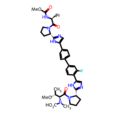 COC(=O)N[C@H](C(=O)N1CCC[C@H]1c1ncc(-c2ccc(-c3ccc(-c4cnc([C@@H]5CCCN5C(=O)[C@H]([C@@H](C)OC)N(C)C(=O)O)[nH]4)c(F)c3)cc2)[nH]1)C(C)C